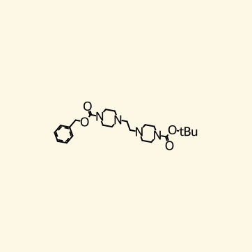 CC(C)(C)OC(=O)N1CCN(CCN2CCN(C(=O)OCc3ccccc3)CC2)CC1